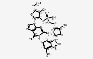 Nc1nc2c(nnn2[C@@H]2S[C@H](CO)[C@@H](O)[C@H]2OP(=O)(S)OC[C@H]2O[C@@H](n3nnc4c(N)ncnc43)C[C@@H]2O)c(=O)[nH]1